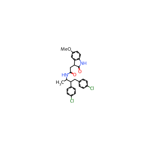 COc1ccc2c(c1)C(CC(=O)NC(C)C(Cc1ccc(Cl)cc1)c1ccc(Cl)cc1)C(=O)N2